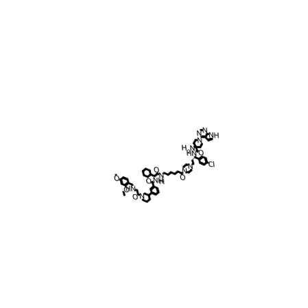 CCOc1cc(OC)ccc1CNCC(=O)N1CCCC(c2cccc(C(=O)N[C@@H](C(=O)NCCCCCC(=O)N3CCN(CC[C@H](NC(=O)C4(N)CCN(c5ncnc6[nH]ccc56)CC4)c4ccc(Cl)cc4)CC3)C3CCCCC3)c2)C1